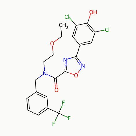 CCOCCN(Cc1cccc(C(F)(F)F)c1)C(=O)c1nc(-c2cc(Cl)c(O)c(Cl)c2)no1